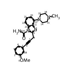 COc1cccc(C#CCc2nc3c(N4CCN(C)CC4)cccc3n2C(N)=O)c1